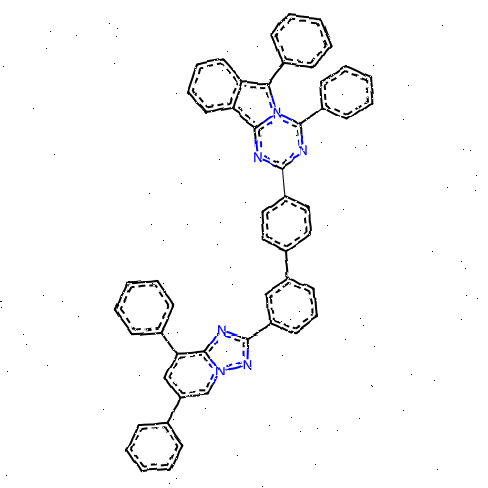 c1ccc(-c2cc(-c3ccccc3)c3nc(-c4cccc(-c5ccc(-c6nc(-c7ccccc7)n7c(-c8ccccc8)c8ccccc8c7n6)cc5)c4)nn3c2)cc1